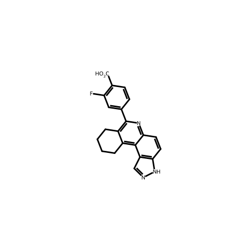 O=C(O)c1ccc(-c2nc3ccc4[nH]ncc4c3c3c2CCCC3)cc1F